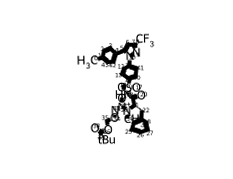 Cc1ccc(-c2cc(C(F)(F)F)nn2-c2ccc(S(=O)(=O)NC(=O)[C@H](Cc3ccccc3)N(C)/[N+]([O-])=N\OCOC(=O)C(C)(C)C)cc2)cc1